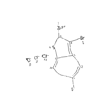 CC1=CC2=C(Br)[CH]([Zr+3])SC2=C1.[Cl-].[Cl-].[Cl-]